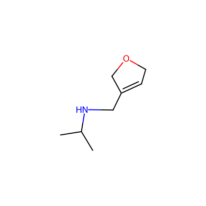 CC(C)NCC1=CCOC1